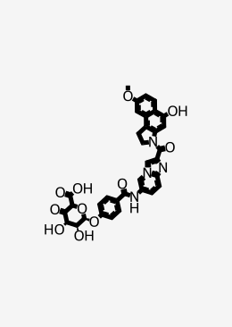 COc1ccc2c(O)cc3c(c2c1)CCN3C(=O)c1cn2cc(NC(=O)c3ccc(O[C@@H]4OC(C(=O)O)C(=O)[C@H](O)[C@H]4O)cc3)ccc2n1